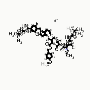 CO/N=C(\C(=O)N[C@@H]1C(=O)N2C(C(=O)OCc3ccc(OC)cc3)=C(C[n+]3cccc4c3ccn4Cc3c(F)cc(C(=N)NC(=O)OC(C)(C)C)cc3Cl)CS[C@H]12)c1nc(NC(=O)OC(C)(C)C)sc1Cl.[I-]